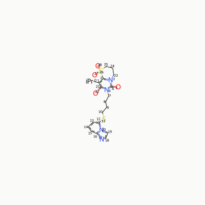 CC(C)c1c2n(c(=O)n(CCCCSc3cccc4nccn34)c1=O)CCCS2(=O)=O